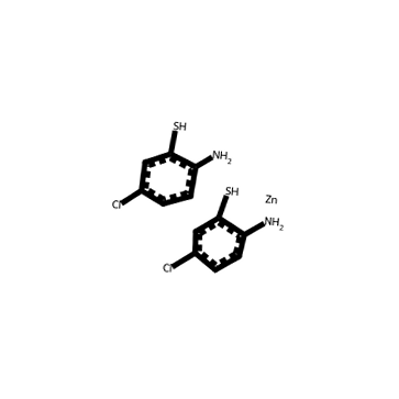 Nc1ccc(Cl)cc1S.Nc1ccc(Cl)cc1S.[Zn]